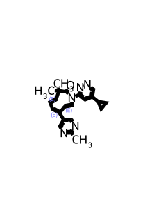 Cc1ncc(C2=C/C=C/C(C)(C)C(=O)N(c3cc(C4CC4)cnn3)\C=C\2)cn1